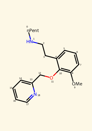 CCCCCNCCc1cccc(OC)c1OCc1ccccn1